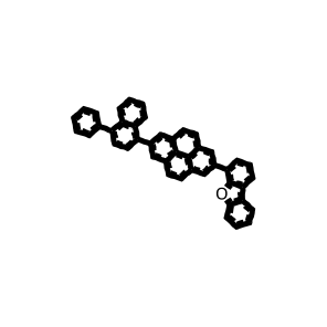 c1ccc(-c2ccc(-c3cc4ccc5cc(-c6cccc7c6oc6ccccc67)cc6ccc(c3)c4c56)c3ccccc23)cc1